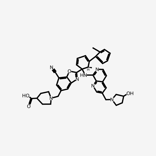 Cc1ccccc1C1=CC=CC(Nc2nccc3cc(CN4CCC(O)C4)cnc23)(c2nc3cc(CN4CCC(C(=O)O)CC4)cc(C#N)c3o2)[C@@H]1C